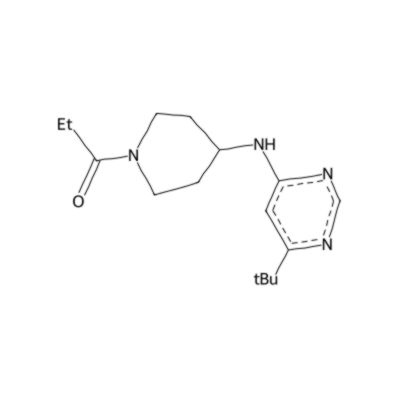 CCC(=O)N1CCC(Nc2cc(C(C)(C)C)ncn2)CC1